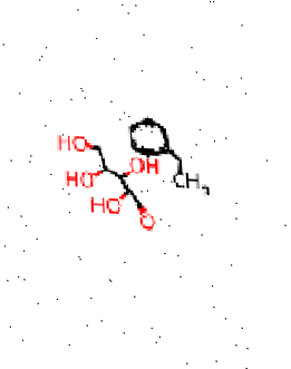 CCc1ccccc1.O=CC(O)C(O)C(O)CO